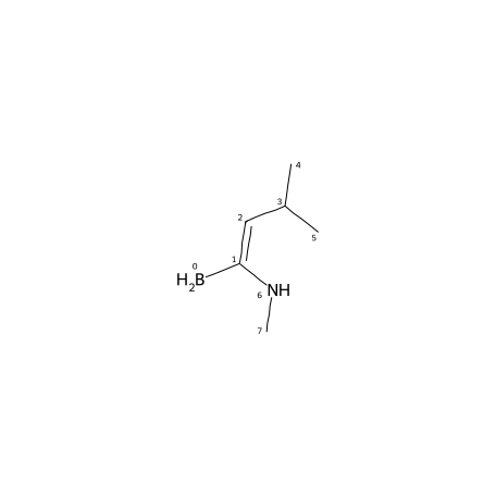 B/C(=C/C(C)C)NC